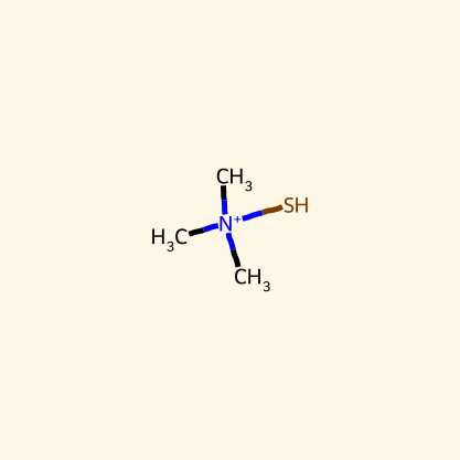 C[N+](C)(C)S